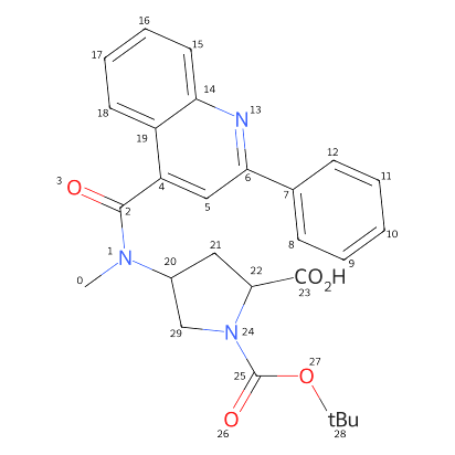 CN(C(=O)c1cc(-c2ccccc2)nc2ccccc12)C1CC(C(=O)O)N(C(=O)OC(C)(C)C)C1